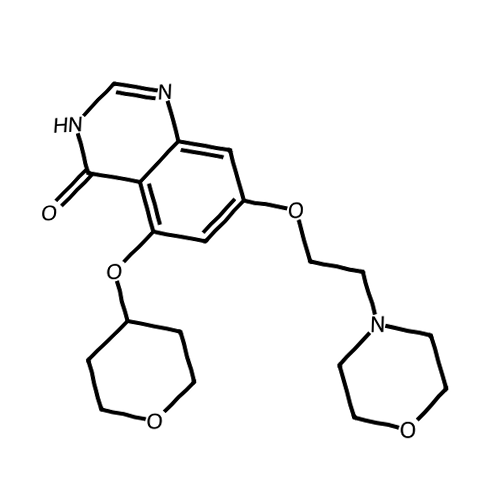 O=c1[nH]cnc2cc(OCCN3CCOCC3)cc(OC3CCOCC3)c12